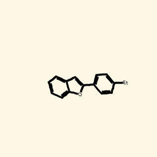 CCc1ccc(-c2cc3ccccc3o2)cc1